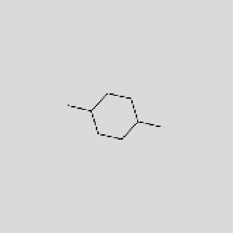 [CH2]C1CCC(C)CC1